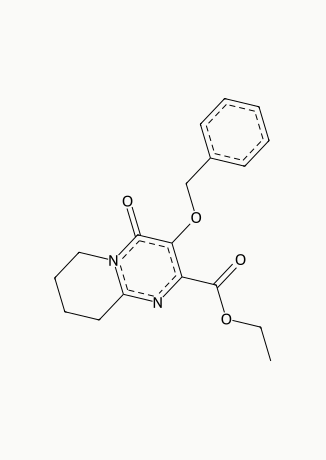 CCOC(=O)c1nc2n(c(=O)c1OCc1ccccc1)CCCC2